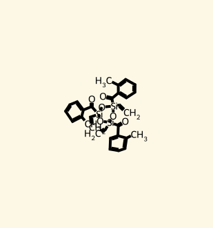 C=C[Si]1(C(=O)c2ccccc2C)O[Si](C=C)(C(=O)c2ccccc2C)O[Si](C=C)(C(=O)c2ccccc2C)O1